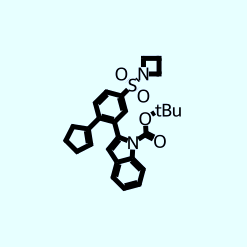 CC(C)(C)OC(=O)n1c(-c2cc(S(=O)(=O)N3CCC3)ccc2C2=CCCC2)cc2ccccc21